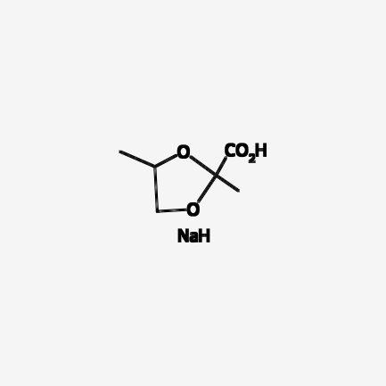 CC1COC(C)(C(=O)O)O1.[NaH]